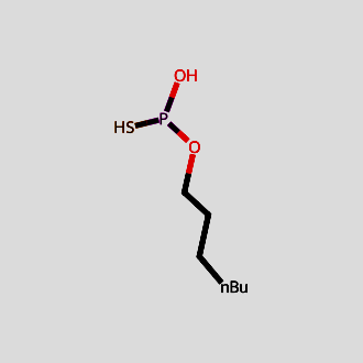 CCCCCCCOP(O)S